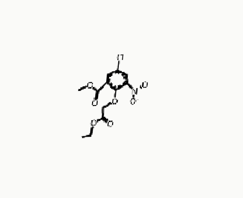 CCOC(=O)COc1c(C(=O)OC)cc(Cl)cc1[N+](=O)[O-]